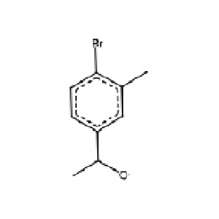 Cc1cc(C(C)[O])ccc1Br